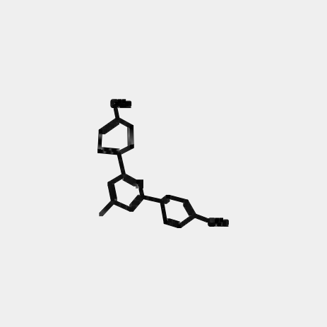 COc1ccc(-c2cc(C)cc(-c3ccc(OC)cc3)n2)cc1